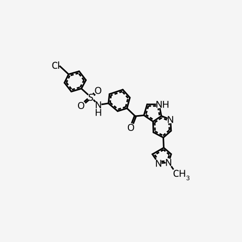 Cn1cc(-c2cnc3[nH]cc(C(=O)c4cccc(NS(=O)(=O)c5ccc(Cl)cc5)c4)c3c2)cn1